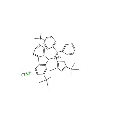 CC1=[C]([Zr+2](=[C](c2ccccc2)c2ccccc2)[CH]2c3cc(C(C)(C)C)ccc3-c3ccc(C(C)(C)C)cc32)CC(C(C)(C)C)=C1.[Cl-].[Cl-]